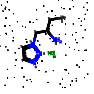 CC(C)CC(N)Cn1ccnn1.Cl